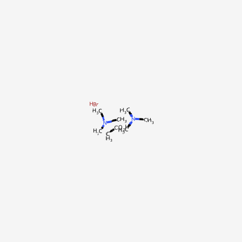 Br.CC(=O)O.CN(C)C.CN(C)C